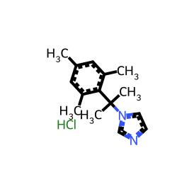 Cc1cc(C)c(C(C)(C)n2ccnc2)c(C)c1.Cl